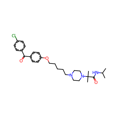 CC(C)NC(=O)C(C)(C)N1CCN(CCCCCOc2ccc(C(=O)c3ccc(Cl)cc3)cc2)CC1